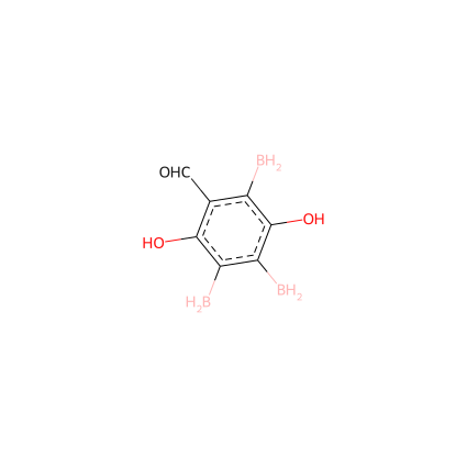 Bc1c(B)c(O)c(C=O)c(B)c1O